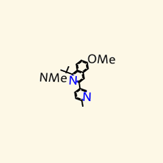 CNC(C)(C)c1nc(-c2ccc(C)nc2)cc2cc(OC)ccc12